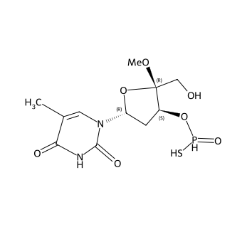 CO[C@]1(CO)O[C@@H](n2cc(C)c(=O)[nH]c2=O)C[C@@H]1O[PH](=O)S